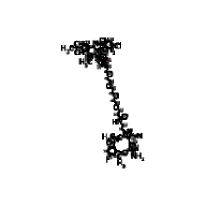 CCOc1cc(C(C)(C)C)ccc1C1=N[C@](C)(c2ccc(Cl)cc2)[C@](C)(c2ccc(Cl)cc2)N1C(=O)N1CCN(CCOCCOCCOCCOCCC(=O)NCCn2nc(C#N)c3c2CN(C)C(=O)c2ccc(F)cc2[C@@H](C)Oc2nc-3cnc2N)CC1